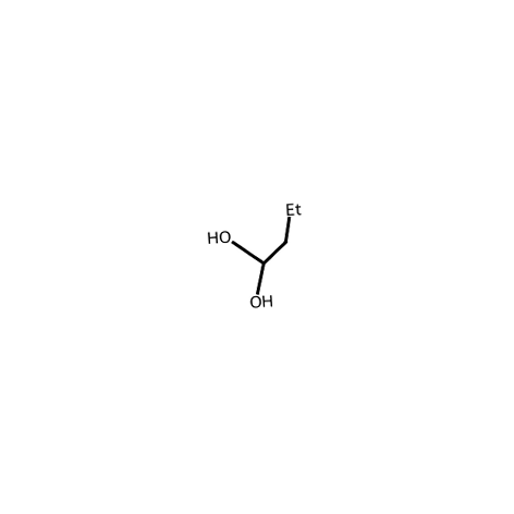 [CH2]CCC(O)O